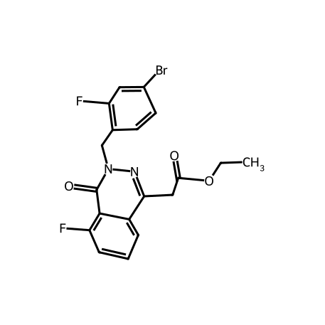 CCOC(=O)Cc1nn(Cc2ccc(Br)cc2F)c(=O)c2c(F)cccc12